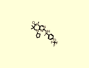 C[C@@H](Nc1ncc2c(n1)N(C1CCCC1)CC(C)(C)C(=O)N2C)c1ccc(OC(F)(F)F)cc1